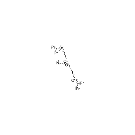 CC(C)CCC(CSC(=O)CCCCCCCCCC(CCCCCCCCCC(=O)SCC(CCC(C)C)C(C)C)OC(=O)CCCN(C)C)C(C)C